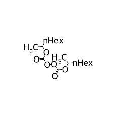 CCCCCCC(C)OC(=O)OOC(=O)OC(C)CCCCCC